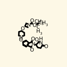 CC(C)(C)OC(=O)N1CC(OC2CCN(Oc3ccc4c(c3)C(=O)N(C3CCC(=O)NC3=O)C4=O)CC2)C1